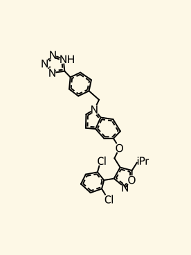 CC(C)c1onc(-c2c(Cl)cccc2Cl)c1COc1ccc2c(ccn2Cc2ccc(-c3nnn[nH]3)cc2)c1